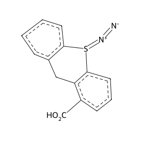 [N-]=[N+]=S1c2ccccc2Cc2c(C(=O)O)cccc21